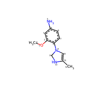 COc1cc(N)ccc1N1C=C(C)NC1